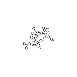 COc1cc2c3c(c4c(c2cc1-c1ccc(N(c2ccccc2)c2ccccc2)cc1)-c1ccccc1C41CCCCCCC1)CCC(c1ccc(Oc2ccc(C4(c5ccc(N6CCOCC6)cc5)CCc5c6c(c7cc(-c8ccc(N(c9ccccc9)c9ccccc9)cc8)c(OC)cc7c5O4)-c4ccccc4C64CCCCCCC4)cc2)cc1)(c1ccc(N2CCOCC2)cc1)O3